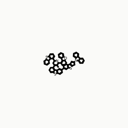 CC1=C(C2=c3c(sc4ccc(-c5ccc6c7c(sc6c5)CC(n5c6ccccc6c6ccccc65)=C7)cc34)=CCC2)CC(c2cccc3c2C2C=CC=CC2S3)N=C1C1=C2c3ccccc3OC2CC=C1